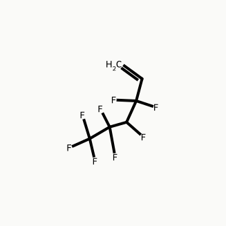 C=CC(F)(F)C(F)C(F)(F)C(F)(F)F